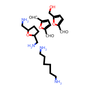 NCC1CCC(CN)O1.NCCCCCCN.O=Cc1ccc(C=O)o1.O=Cc1ccc(CO)o1